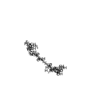 C[C@@H]1CC(F)(F)CN1C(=O)[C@@H](C)NC(=O)c1ccnc(CNC(=O)CCC(=O)NCCCCCCCC(=O)NCC(N)C(=O)NC(CC(=O)O)C(=O)NC(CS)C(=O)O)c1